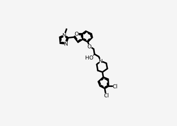 Cn1ccnc1-c1cc2c(OC[C@@H](O)CN3CCC(c4ccc(Cl)c(Cl)c4)CC3)cccc2o1